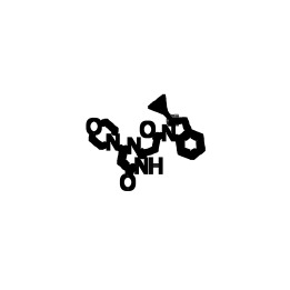 O=C(Cc1nc(N2CCOCC2)cc(=O)[nH]1)N1c2ccccc2C[C@@H]1C1CC1